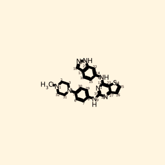 CN1CCN(c2ccc(Nc3nc(Nc4ccc5cn[nH]c5c4)c4sccc4n3)cc2)CC1